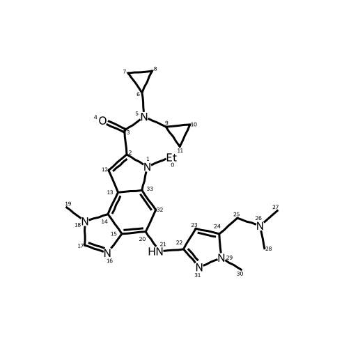 CCn1c(C(=O)N(C2CC2)C2CC2)cc2c3c(ncn3C)c(Nc3cc(CN(C)C)n(C)n3)cc21